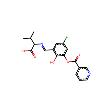 CC(C)C(N=Cc1cc(Cl)cc(OC(=O)c2cccnc2)c1O)C(=O)O